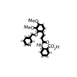 COc1ccc(C=CC(=O)Nc2ccccc2C(=O)O)c(OCc2cccnc2)c1OC